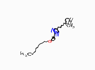 C=CCCCCCCCCCOc1ccc(-c2ncc(CCCCCC(C)CC)cn2)cc1